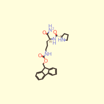 NC(=O)[C@H](CCCNC(=O)OCC1c2ccccc2-c2ccccc21)NC(=O)[C@@H]1CCCN1